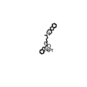 CC(CCCOC(=O)C1Cc2ccccc2N1C(C)C)N1CCC2(CC1)Cc1ccccc1C2